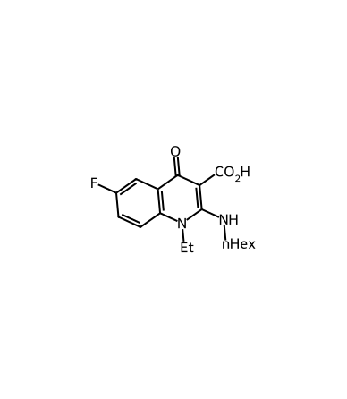 CCCCCCNc1c(C(=O)O)c(=O)c2cc(F)ccc2n1CC